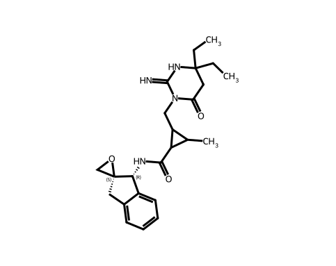 CCC1(CC)CC(=O)N(CC2C(C)C2C(=O)N[C@@H]2c3ccccc3C[C@@]23CO3)C(=N)N1